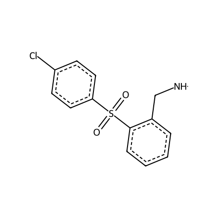 [NH]Cc1ccccc1S(=O)(=O)c1ccc(Cl)cc1